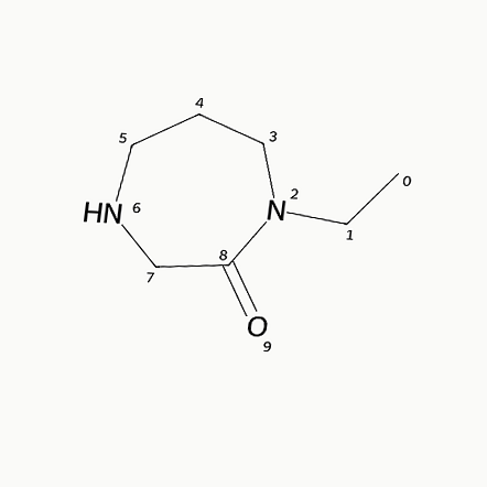 CCN1CCCNCC1=O